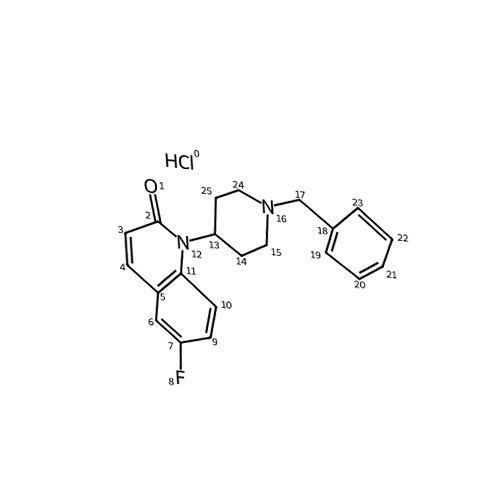 Cl.O=c1ccc2cc(F)ccc2n1C1CCN(Cc2ccccc2)CC1